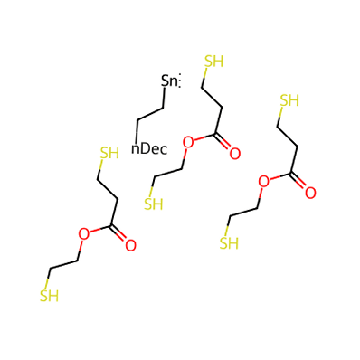 CCCCCCCCCCC[CH2][Sn].O=C(CCS)OCCS.O=C(CCS)OCCS.O=C(CCS)OCCS